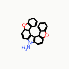 Nn1c2c(c3c4c(ccc31)oc1ccccc14)C1C3=C(CCC=C3)OC1C=C2